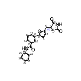 O=C1NC(=O)/C(=C/c2ccc(-c3cccc(C(=O)Nc4ccccc4)c3)o2)S1